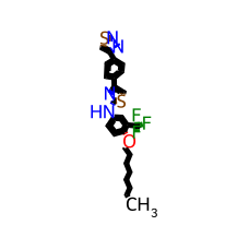 CCCCCCCCOc1ccc(Nc2nc(-c3ccc(-c4csnn4)cc3)cs2)cc1C(F)(F)F